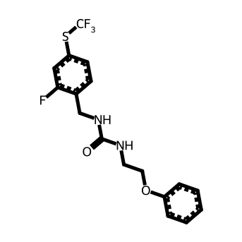 O=C(NCCOc1ccccc1)NCc1ccc(SC(F)(F)F)cc1F